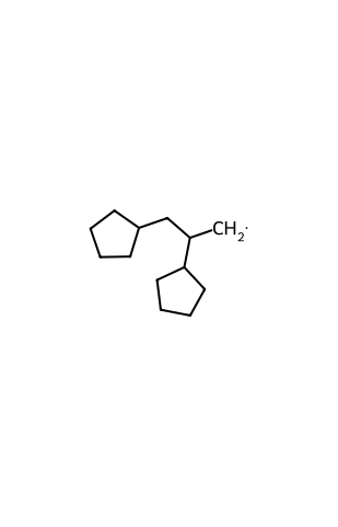 [CH2]C(CC1CCCC1)C1CCCC1